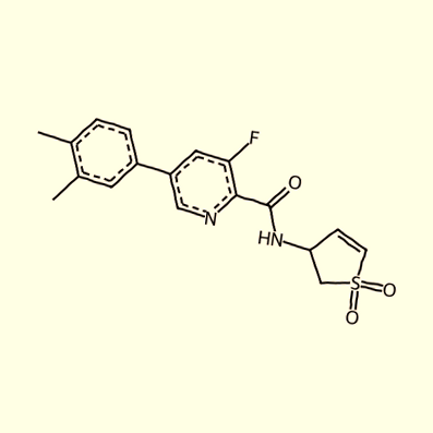 Cc1ccc(-c2cnc(C(=O)NC3C=CS(=O)(=O)C3)c(F)c2)cc1C